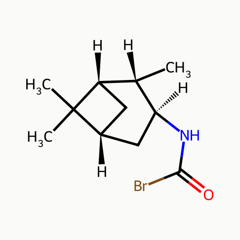 C[C@@H]1[C@@H](NC(=O)Br)C[C@H]2C[C@@H]1C2(C)C